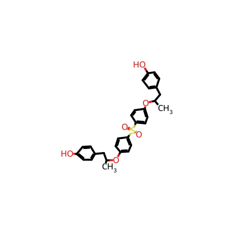 CC(Cc1ccc(O)cc1)Oc1ccc(S(=O)(=O)c2ccc(OC(C)Cc3ccc(O)cc3)cc2)cc1